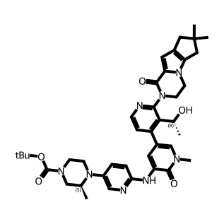 C[C@@H](O)c1c(-c2cc(Nc3ccc(N4CCN(C(=O)OC(C)(C)C)C[C@@H]4C)cn3)c(=O)n(C)c2)ccnc1N1CCn2c(cc3c2CC(C)(C)C3)C1=O